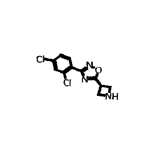 Clc1ccc(-c2noc(C3CNC3)n2)c(Cl)c1